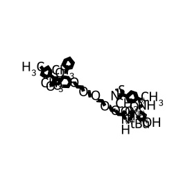 Cc1cc(C)c(C2=C(OCc3ccccc3)[C@]3(CC[C@H](OCCOCCOCCOCCOCC(=O)N[C@H](C(=O)N4C[C@H](O)C[C@H]4C(=O)N[C@@H](C)c4ccc(-c5scnc5C)cc4)C(C)(C)C)CC3)OC2=O)c(C)c1